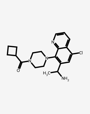 CC(N)c1cc(Cl)c2cccnc2c1N1CCN(C(=O)C2CCC2)CC1